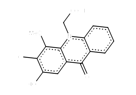 COc1c(Cl)c(O)cc2c(=O)c3ccccc3n(CC(=O)O)c12